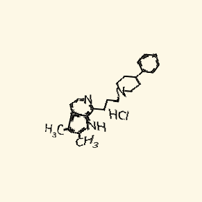 Cc1[nH]c2c(CCCN3CCC(c4ccccc4)CC3)nccc2c1C.Cl